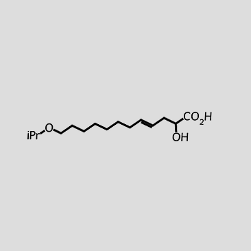 CC(C)OCCCCCCCC=CCC(O)C(=O)O